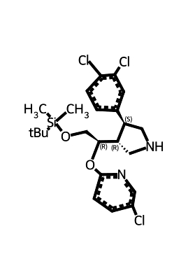 CC(C)(C)[Si](C)(C)OC[C@H](Oc1ccc(Cl)cn1)[C@H]1CNC[C@@H]1c1ccc(Cl)c(Cl)c1